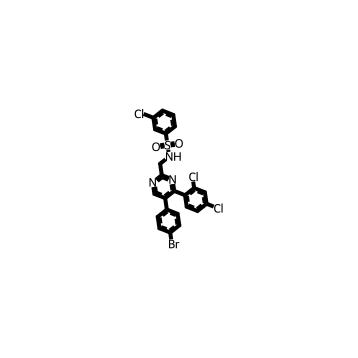 O=S(=O)(NCc1ncc(-c2ccc(Br)cc2)c(-c2ccc(Cl)cc2Cl)n1)c1cccc(Cl)c1